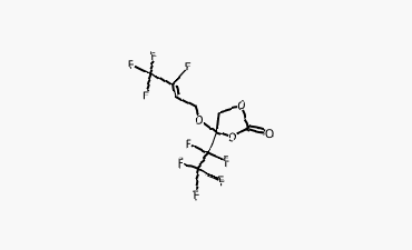 O=C1OCC(OCC=C(F)C(F)(F)F)(C(F)(F)C(F)(F)F)O1